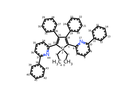 CC[Si]1(CC)C(c2cccc(-c3ccccc3)n2)=C(c2ccccc2)C(c2ccccc2)=C1c1cccc(-c2ccccc2)n1